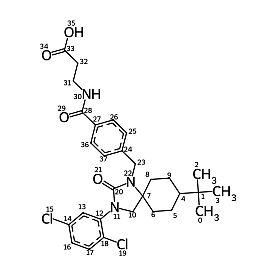 CC(C)(C)C1CCC2(CC1)CN(c1cc(Cl)ccc1Cl)C(=O)N2Cc1ccc(C(=O)NCCC(=O)O)cc1